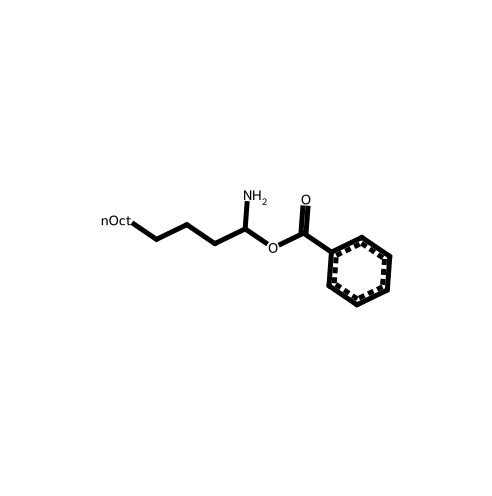 CCCCCCCCCCCC(N)OC(=O)c1ccccc1